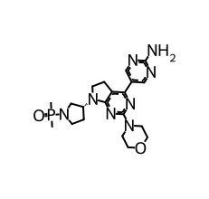 CP(C)(=O)N1CC[C@@H](N2CCc3c(-c4cnc(N)nc4)nc(N4CCOCC4)nc32)C1